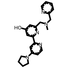 CN(Cc1ccccn1)Cc1cc(O)cc(-c2cc(N3CCCC3)ccn2)n1